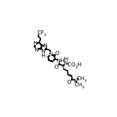 CN(C)C(=O)/C=C/CC[C@H](NC(=O)O)C(=O)Nc1cccn(Cc2nc3c(CCC(F)(F)F)ncnc3[nH]2)c1=O